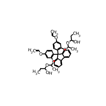 C=COc1ccc(C2(c3ccc(OC=C)cc3OC(C)OC(O)CC)c3ccccc3-c3ccccc32)c(OC(C)OC(O)CC)c1